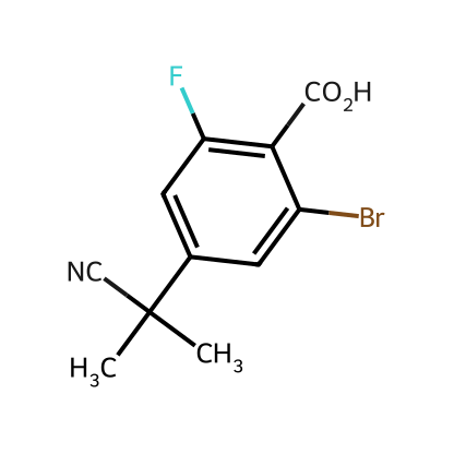 CC(C)(C#N)c1cc(F)c(C(=O)O)c(Br)c1